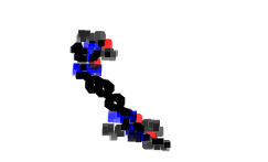 COC(=O)N[C@@H](C)C(=O)N(C(C)C)[C@@H](C)c1ncc(-c2ccc(-c3ccc4cc(-c5cnc([C@@H]6CC7(CC7)CN6C(=O)[C@@H](NC(=O)OC)C(C)C)[nH]5)ccc4c3)cc2)[nH]1